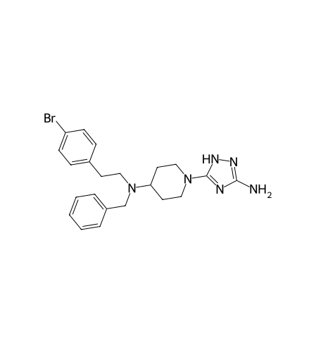 Nc1n[nH]c(N2CCC(N(CCc3ccc(Br)cc3)Cc3ccccc3)CC2)n1